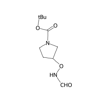 CC(C)(C)OC(=O)N1CCC(ONC=O)C1